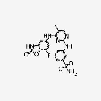 Cc1cnc(Nc2cccc(S(N)(=O)=O)c2)nc1Nc1cc(F)c2oc(=O)[nH]c2c1